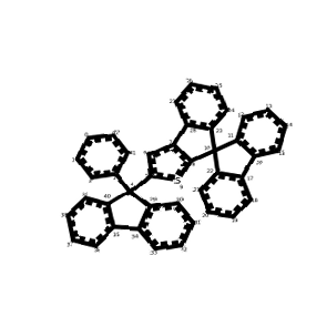 c1ccc(C2(c3cc4c(s3)C3(c5ccccc5-c5ccccc53)c3ccccc3-4)c3ccccc3-c3ccccc32)cc1